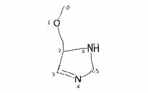 COC1C=N[C]N1